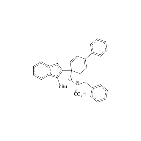 CCCCc1c(C2(O[C@H](Cc3ccccc3)C(=O)O)C=CC(c3ccccc3)=CC2)cn2ccccc12